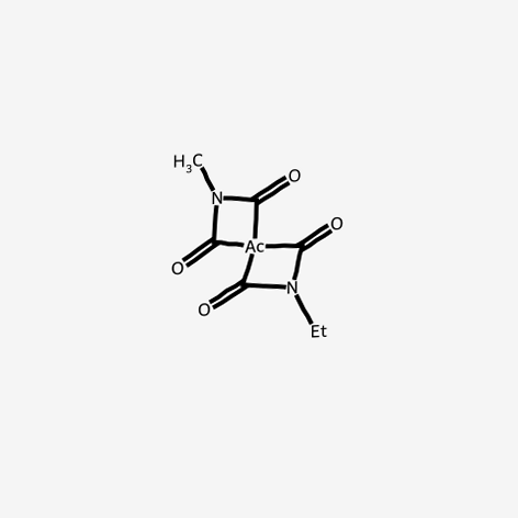 CCN1[C](=O)[Ac]2([C](=O)N(C)[C]2=O)[C]1=O